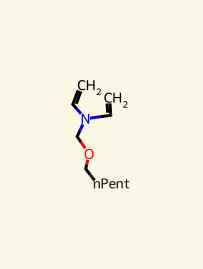 C=CN(C=C)COCCCCCC